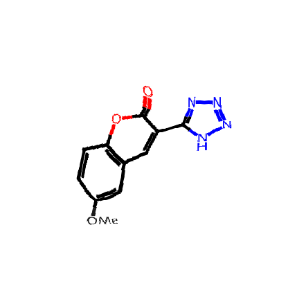 COc1ccc2oc(=O)c(-c3nnn[nH]3)cc2c1